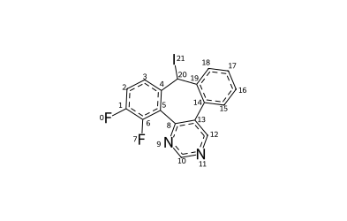 Fc1ccc2c(c1F)-c1ncncc1-c1ccccc1C2I